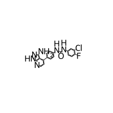 Nc1n[nH]c2nccc(-c3ccc(NC(=O)Nc4ccc(F)c(Cl)c4)cc3)c12